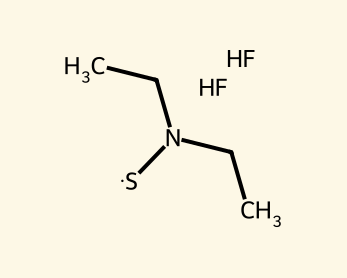 CCN([S])CC.F.F